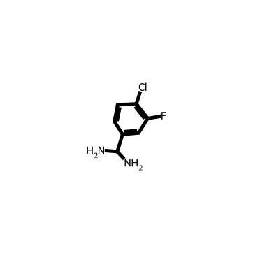 NC(N)c1ccc(Cl)c(F)c1